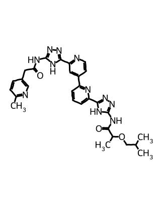 Cc1ccc(CC(=O)Nc2nnc(-c3cc(-c4cccc(-c5nnc(NC(=O)C(C)OCC(C)C)[nH]5)n4)ccn3)[nH]2)cn1